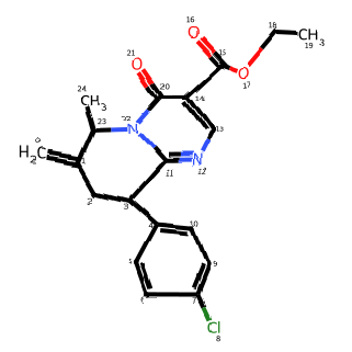 C=C1CC(c2ccc(Cl)cc2)c2ncc(C(=O)OCC)c(=O)n2C1C